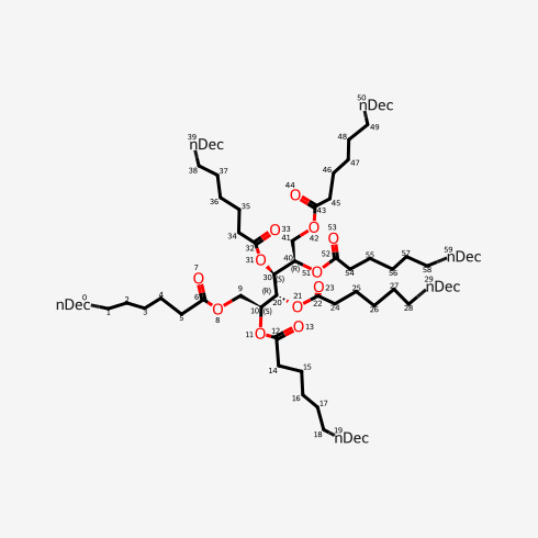 CCCCCCCCCCCCCCCC(=O)OC[C@H](OC(=O)CCCCCCCCCCCCCCC)[C@@H](OC(=O)CCCCCCCCCCCCCCC)[C@@H](OC(=O)CCCCCCCCCCCCCCC)[C@@H](COC(=O)CCCCCCCCCCCCCCC)OC(=O)CCCCCCCCCCCCCCC